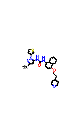 CC(C)(C)c1cc(NC(=O)Nc2ccc(OCCc3ccncc3)c3ccccc23)n(-c2ccsc2)n1